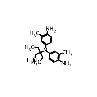 CCC(CC)(CN)N(c1ccc(N)c(C)c1)c1ccc(N)c(C)c1